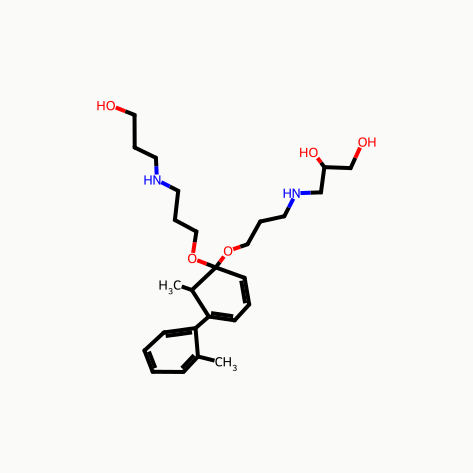 Cc1ccccc1C1=CC=CC(OCCCNCCCO)(OCCCNCC(O)CO)C1C